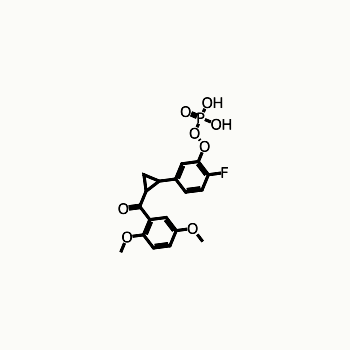 COc1ccc(OC)c(C(=O)C2CC2c2ccc(F)c(OOP(=O)(O)O)c2)c1